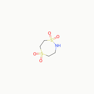 O=S1(=O)CCNS(=O)(=O)CC1